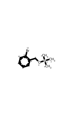 C[Si](C)(C)OCc1ccccc1Br